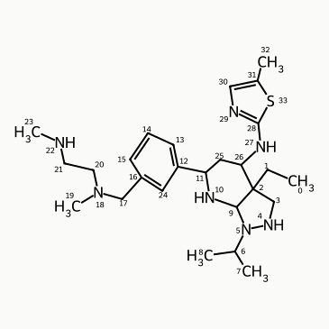 CCC12CNN(C(C)C)C1NC(c1cccc(CN(C)CCNC)c1)CC2Nc1ncc(C)s1